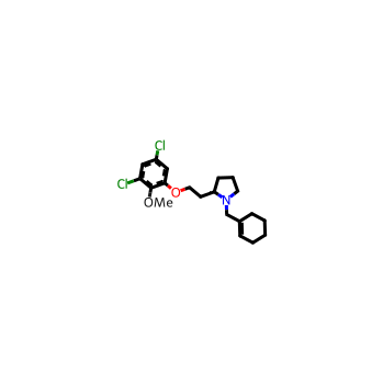 COc1c(Cl)cc(Cl)cc1OCC[C]1CCCN1CC1=CCCCC1